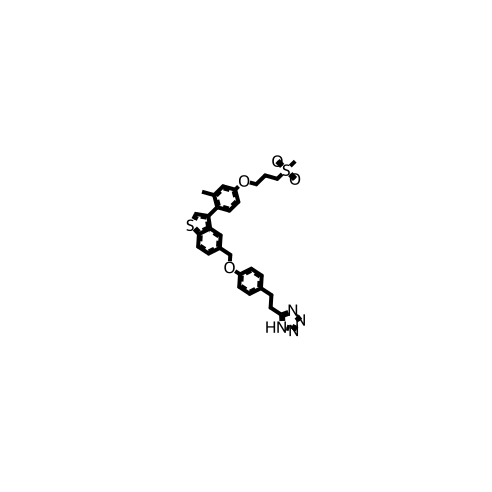 Cc1cc(OCCCS(C)(=O)=O)ccc1-c1csc2ccc(COc3ccc(CCc4nnn[nH]4)cc3)cc12